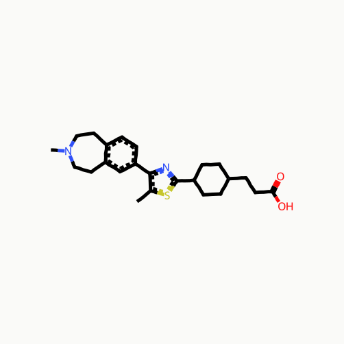 Cc1sc(C2CCC(CCC(=O)O)CC2)nc1-c1ccc2c(c1)CCN(C)CC2